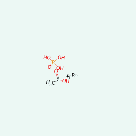 CC(=O)O.O=P(O)(O)O.[Pr].[Pr]